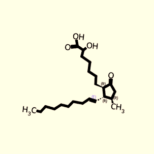 CCCCCCCC/C=C/[C@H]1[C@H](C)CC(=O)[C@@H]1CCCCCC(O)C(=O)O